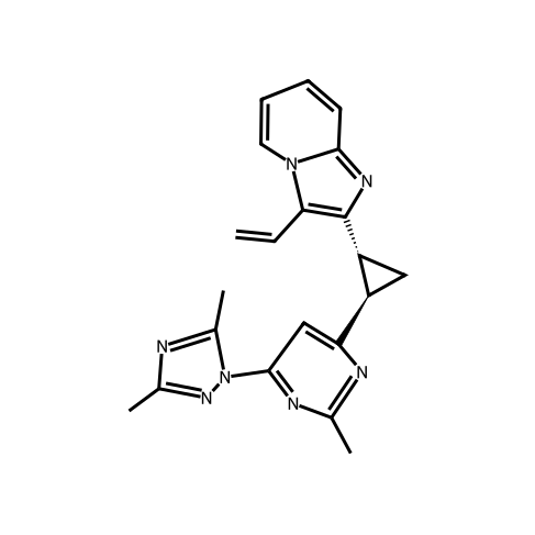 C=Cc1c([C@@H]2C[C@H]2c2cc(-n3nc(C)nc3C)nc(C)n2)nc2ccccn12